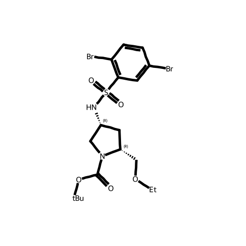 CCOC[C@H]1C[C@@H](NS(=O)(=O)c2cc(Br)ccc2Br)CN1C(=O)OC(C)(C)C